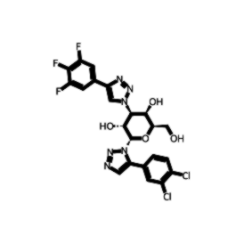 OC[C@H]1O[C@H](n2nncc2-c2ccc(Cl)c(Cl)c2)[C@H](O)[C@@H](n2cc(-c3cc(F)c(F)c(F)c3)nn2)[C@H]1O